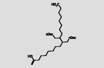 C=C(O)CCCCCCCC(CCCCCCCCCCC)C(CCCCCCCCCCC)CCCCCCCC(=O)O